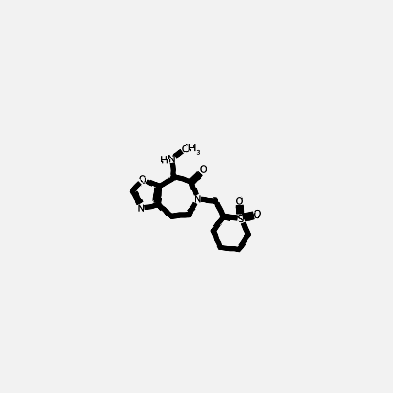 CNC1C(=O)N(CC2CCCCS2(=O)=O)CCc2ncoc21